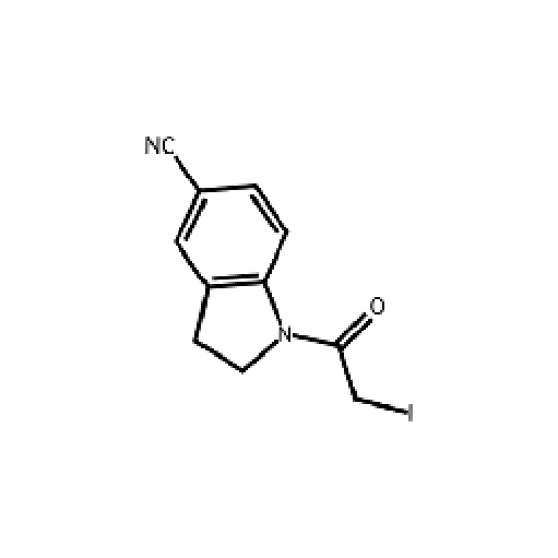 N#Cc1ccc2c(c1)CCN2C(=O)CI